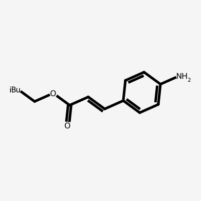 CCC(C)COC(=O)/C=C/c1ccc(N)cc1